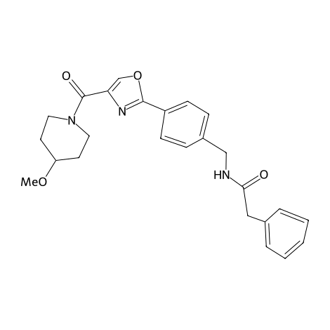 COC1CCN(C(=O)c2coc(-c3ccc(CNC(=O)Cc4ccccc4)cc3)n2)CC1